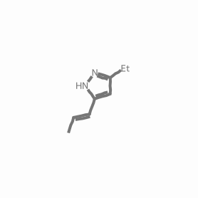 C/C=C/c1cc(CC)n[nH]1